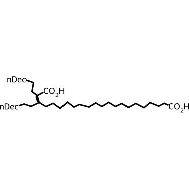 CCCCCCCCCCCCC(CCCCCCCCCCCCCCCCCCC(=O)O)=C(CCCCCCCCCCCC)C(=O)O